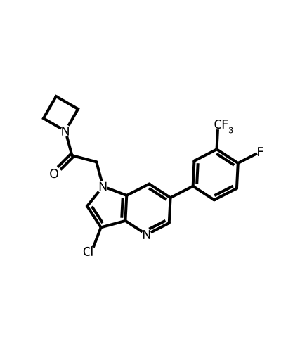 O=C(Cn1cc(Cl)c2ncc(-c3ccc(F)c(C(F)(F)F)c3)cc21)N1CCC1